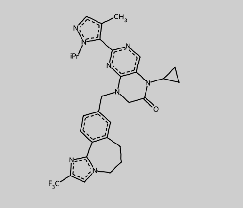 Cc1cnn(C(C)C)c1-c1ncc2c(n1)N(Cc1ccc3c(c1)CCCn1cc(C(F)(F)F)nc1-3)CC(=O)N2C1CC1